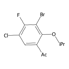 CC(=O)c1cc(Cl)c(F)c(Br)c1OC(C)C